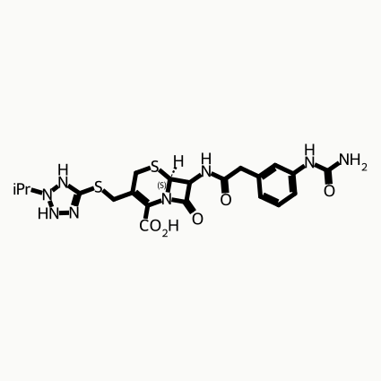 CC(C)N1NN=C(SCC2=C(C(=O)O)N3C(=O)C(NC(=O)Cc4cccc(NC(N)=O)c4)[C@@H]3SC2)N1